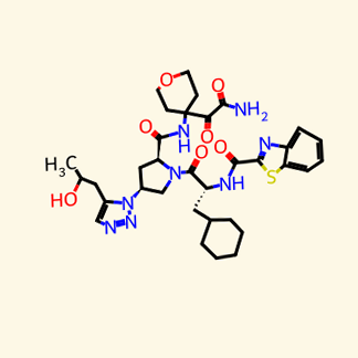 CC(O)Cc1cnnn1[C@H]1C[C@@H](C(=O)NC2(C(=O)C(N)=O)CCOCC2)N(C(=O)[C@@H](CC2CCCCC2)NC(=O)c2nc3ccccc3s2)C1